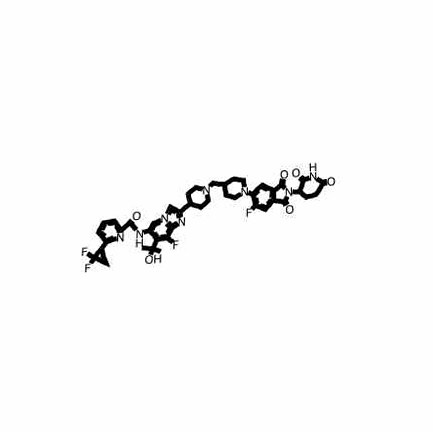 CC(C)(O)c1c(NC(=O)c2cccc(C3CC3(F)F)n2)cn2cc(C3CCN(CC4CCN(c5cc6c(cc5F)C(=O)N(C5CCC(=O)NC5=O)C6=O)CC4)CC3)nc2c1F